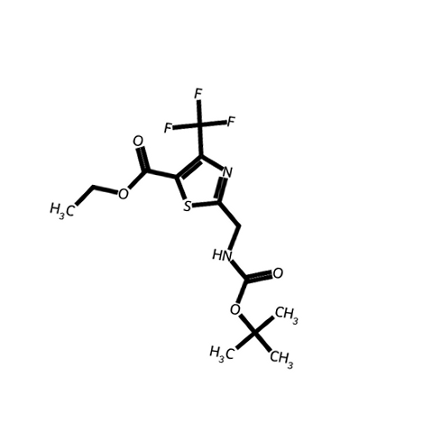 CCOC(=O)c1sc(CNC(=O)OC(C)(C)C)nc1C(F)(F)F